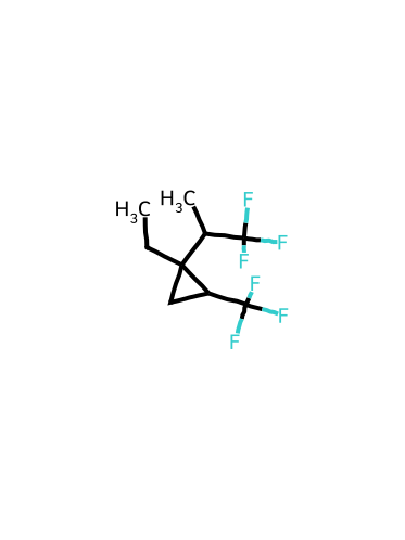 CCC1(C(C)C(F)(F)F)CC1C(F)(F)F